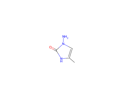 Cc1cn(N)c(=O)[nH]1